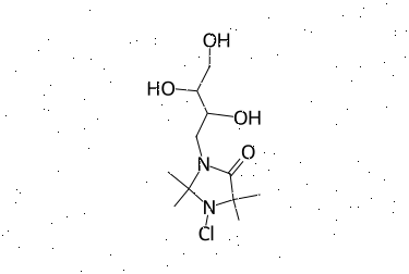 CC1(C)C(=O)N(CC(O)C(O)CO)C(C)(C)N1Cl